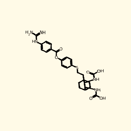 N=C(N)Nc1ccc(C(=O)Oc2ccc(SCCC34CCC(CC3)C(NC(=O)O)C4NC(=O)O)cc2)cc1